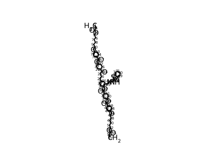 C=CC(=O)OCCCCCCOc1ccc(C(=O)OC2CCC(C(=O)CCCc3ccc(OC(=O)C4CCC(OC(=O)c5ccc(OCCCCCCOC(=O)C=C)cc5)CC4)c(/C=N/Nc4nc5ccccc5s4)c3)CC2)cc1